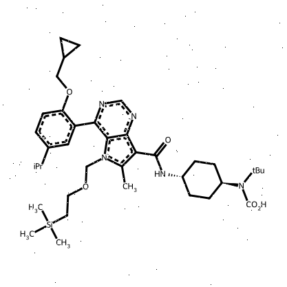 Cc1c(C(=O)N[C@H]2CC[C@H](N(C(=O)O)C(C)(C)C)CC2)c2ncnc(-c3cc(C(C)C)ccc3OCC3CC3)c2n1COCC[Si](C)(C)C